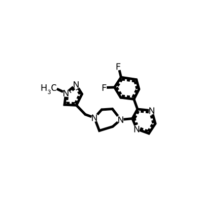 Cn1cc(CN2CCN(c3nccnc3-c3ccc(F)c(F)c3)CC2)cn1